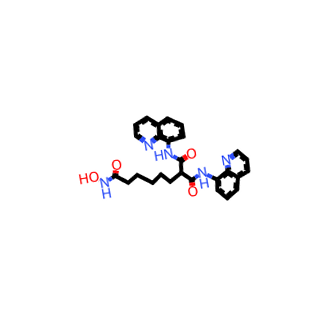 O=C(CCCCCC(C(=O)Nc1cccc2cccnc12)C(=O)Nc1cccc2cccnc12)NO